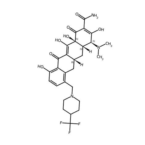 CN(C)[C@@H]1C(O)=C(C(N)=O)C(=O)[C@@]2(O)C(O)=C3C(=O)c4c(O)ccc(CN5CCC(C(F)(F)F)CC5)c4C[C@H]3C[C@@H]12